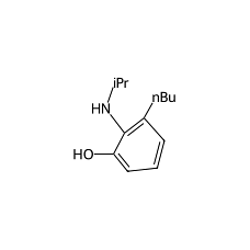 CCCCc1cccc(O)c1NC(C)C